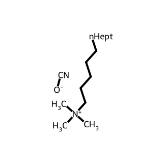 CCCCCCCCCCCC[N+](C)(C)C.N#C[O-]